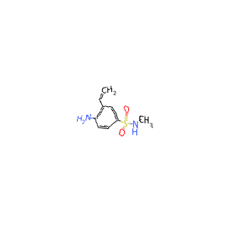 C=Cc1cc(S(=O)(=O)NC)ccc1N